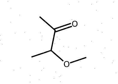 COC(C)C(C)=O